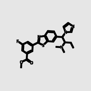 CCC(C(c1ccc2nc(-c3cc(F)cc(C(=O)OC)c3)sc2c1)n1ccnc1)N(C)C